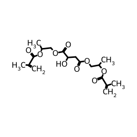 C=C(C)C(=O)OC(C)COC(=O)CC(O)C(=O)OCC(C)OC(=O)C(=C)C